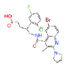 Cc1c(N2CC=CC2)nc2ccc(Br)cc2c1C(=O)NCC(CCC(=O)O)c1cc(F)ccc1Cl